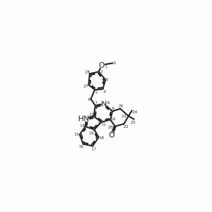 COc1ccc(Cc2nc3c(c4c2[nH]c2ccccc24)C(=O)CC(C)(C)C3)cc1